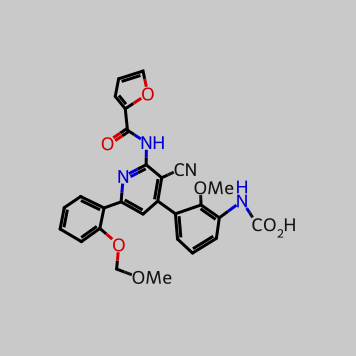 COCOc1ccccc1-c1cc(-c2cccc(NC(=O)O)c2OC)c(C#N)c(NC(=O)c2ccco2)n1